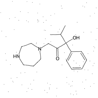 CC(C)C(O)(C(=O)CN1CCCNCC1)c1ccccc1